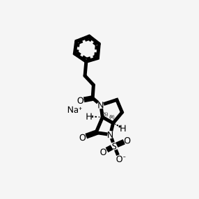 O=C(CCc1ccccc1)N1CC[C@@H]2[C@H]1C(=O)N2S(=O)(=O)[O-].[Na+]